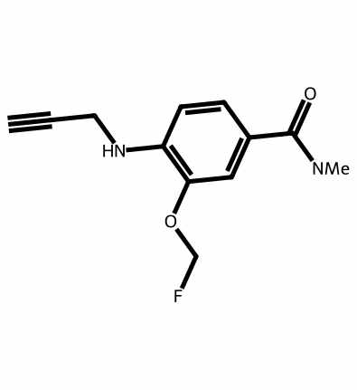 C#CCNc1ccc(C(=O)NC)cc1OCF